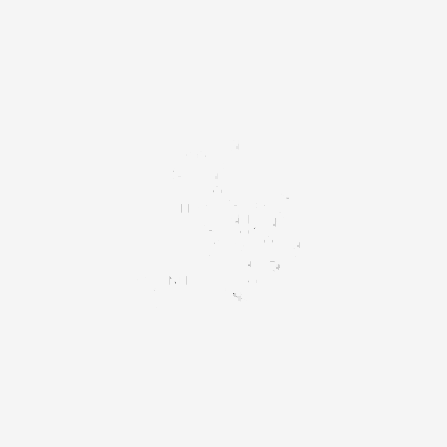 C=C(C)C(=O)NCCC[Si]([SiH2]O[Si](O[Si](C)(C)C)(O[Si](C)(C)C)O[Si](C)(C)C)([SiH2]O[Si](O[Si](C)(C)C)(O[Si](C)(C)C)O[Si](C)(C)C)[SiH2]O[Si](O[Si](C)(C)C)(O[Si](C)(C)C)O[Si](C)(C)C